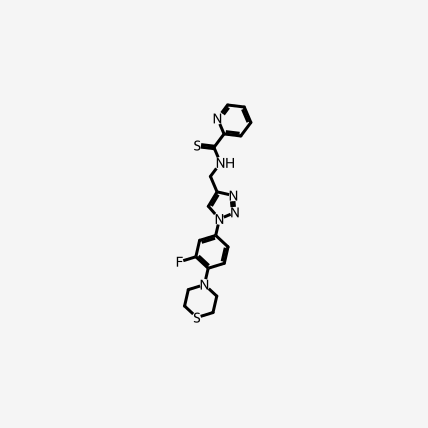 Fc1cc(-n2cc(CNC(=S)c3ccccn3)nn2)ccc1N1CCSCC1